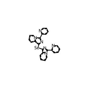 c1ccc(-c2nc([Se]c3nc(-c4ccccn4)n4ccccc34)c3ccccn23)nc1